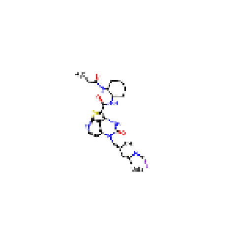 C=CC(=O)NC1CCCC[C@H]1NC(=O)c1sc2nccc3c2c1NC(=O)N3/C=C(C)/C=C(\N=C/I)OCC(C)C